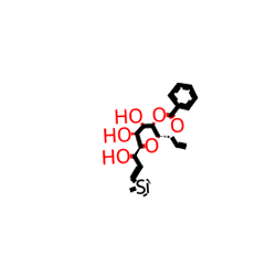 C=CC[C@@H]1O[C@@H](C(O)/C=C/[Si](C)(C)C)[C@@H](O)[C@@H](O)[C@H]1OC(=O)c1ccccc1